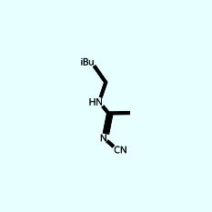 CCC(C)CN/C(C)=N/C#N